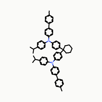 Cc1ccc(-c2ccc(N(c3ccc(C(C)C)cc3)c3ccc(C4(c5ccc(N(c6ccc(-c7ccc(C)cc7)cc6)c6ccc(C(C)C)cc6)cc5)CCCCC4)cc3)cc2)cc1